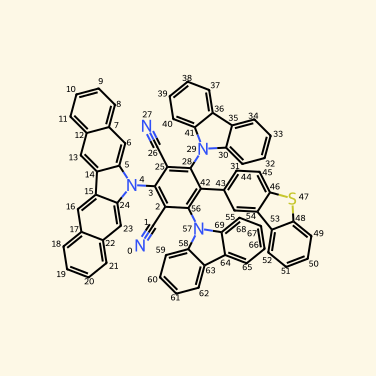 N#Cc1c(-n2c3cc4ccccc4cc3c3cc4ccccc4cc32)c(C#N)c(-n2c3ccccc3c3ccccc32)c(-c2ccc3sc4ccccc4c3c2)c1-n1c2ccccc2c2ccccc21